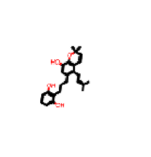 CC(C)=CCc1c(CCCc2c(O)cccc2O)cc(O)c2c1C=CC(C)(C)O2